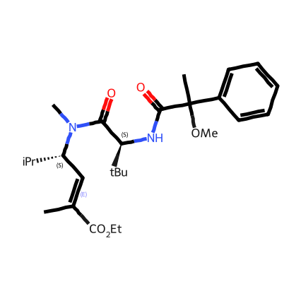 CCOC(=O)/C(C)=C/[C@H](C(C)C)N(C)C(=O)[C@@H](NC(=O)C(C)(OC)c1ccccc1)C(C)(C)C